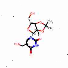 CC1(C)OC2[C@@H](CO)O[C@@H](n3cc(CO)c(=O)[nH]c3=O)[C@H]2O1